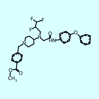 COC(=O)c1ccc(CN2CCC(N(CC(=O)Nc3ccc(Oc4ccccc4)cc3)CC(F)C(F)F)CC2)cc1